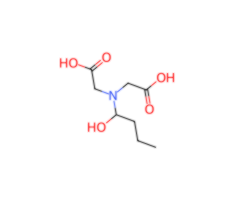 CCCC(O)N(CC(=O)O)CC(=O)O